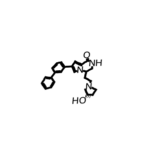 O=C1NCC(CCN2CC[C@H](O)C2)n2cc(-c3cccc(-c4ccccc4)c3)cc21